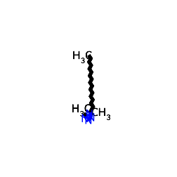 CCCCCCCCCCCCCCCCC(C)(C)n1cnnn1